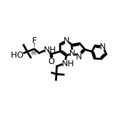 CC(C)(C)CNc1c(C(=O)NC[C@@H](F)C(C)(C)O)cnc2cc(-c3cccnc3)nn12